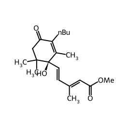 CCCCC1=C(C)[C@](O)(C=CC(C)=CC(=O)OC)C(C)(C)CC1=O